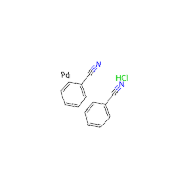 Cl.N#Cc1ccccc1.N#Cc1ccccc1.[Pd]